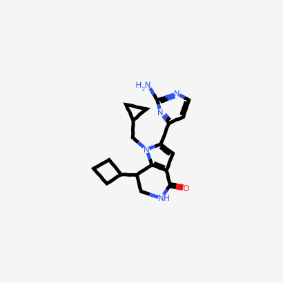 Nc1nccc(-c2cc3c(n2CC2CC2)C(C2CCC2)CNC3=O)n1